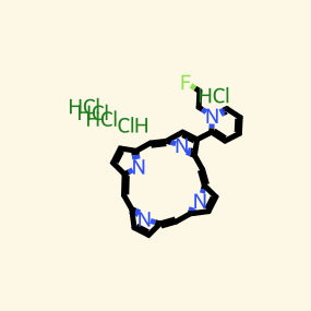 Cl.Cl.Cl.Cl.Cl.FCC[n+]1ccccc1C1=CC2=CC3=NC(=CC4=NC(=CC5=NC(=CC1=N2)C=C5)C=C4)C=C3